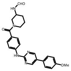 COc1ccc(-c2cnc(Nc3ccc(C(=O)N4CCCC(NC=O)C4)cc3)nc2)cc1